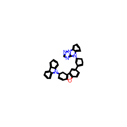 C1=CC(n2c3ccccc3c3ccccc32)Cc2c1oc1ccc(C3=CCCC(n4c5ccccc5n5ncnc45)=C3)cc21